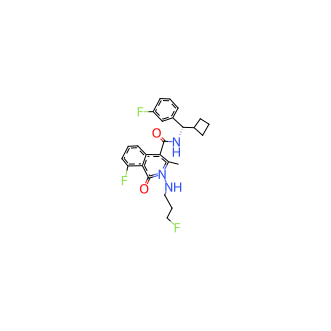 Cc1c(C(=O)N[C@H](c2cccc(F)c2)C2CCC2)c2cccc(F)c2c(=O)n1NCCCF